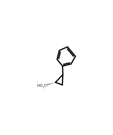 O=C(O)[C@H]1CC1c1ccccc1